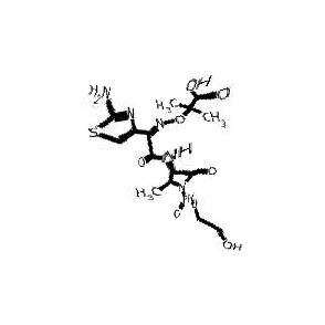 CC1C(NC(=O)C(=NOC(C)(C)C(=O)O)c2csc(N)n2)C(=O)N1[PH](=O)OCCO